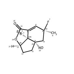 CCO[C@]12C3=C[C@@](C)(F)C[C@@]1(N=O)CC[C@H]2OC3=O